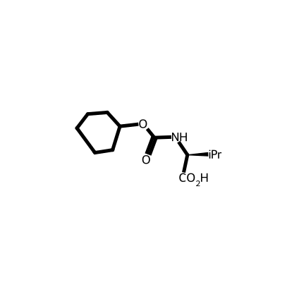 CC(C)[C@H](NC(=O)OC1CCCCC1)C(=O)O